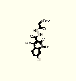 CCCCCCCCCCCC(=O)NNC(=O)c1c(O)c2ccc(Cl)cc2n(CC)c1=O